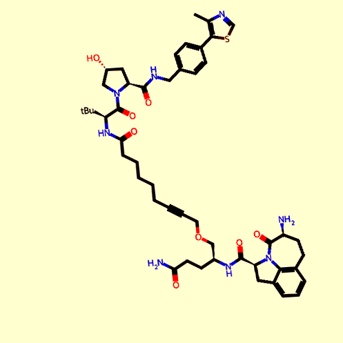 Cc1ncsc1-c1ccc(CNC(=O)[C@@H]2C[C@@H](O)CN2C(=O)[C@@H](NC(=O)CCCCCC#CCOC[C@H](CCC(N)=O)NC(=O)[C@@H]2Cc3cccc4c3N2C(=O)[C@@H](N)CC4)C(C)(C)C)cc1